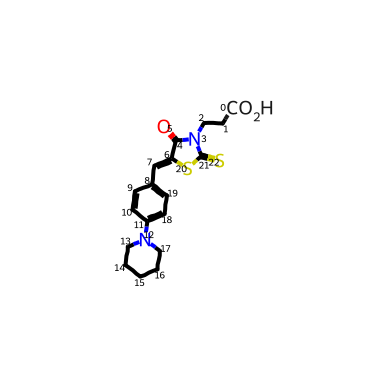 O=C(O)CCN1C(=O)C(=Cc2ccc(N3CCCCC3)cc2)SC1=S